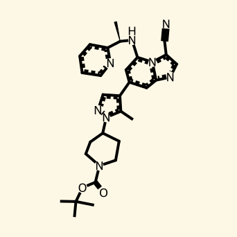 Cc1c(-c2cc(N[C@H](C)c3ccccn3)n3c(C#N)cnc3c2)cnn1C1CCN(C(=O)OC(C)(C)C)CC1